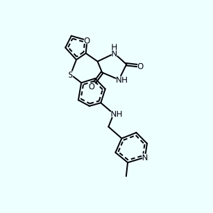 Cc1cc(CNc2ccc(Sc3ccoc3C3NC(=O)NC3=O)cc2)ccn1